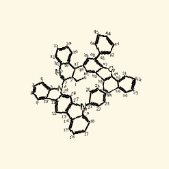 CCC1C(n2c3ccccc3c3cc4c5ccccc5n(-c5ccccc5)c4cc32)=Nc2ccccc2C1c1cc(-c2ccccc2)c2oc3c4ccccc4ccc3c2c1